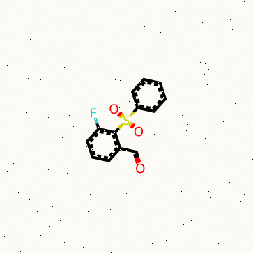 O=Cc1cccc(F)c1S(=O)(=O)c1ccccc1